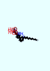 CCCCCCCCCCc1cccc([C@H]2CC[C@](N)(COP(=O)(O)O)C2)c1